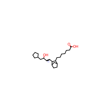 O=C(O)CCCCCCC1C2CCC(C2)C1/C=C/C(O)CC1CCCC1